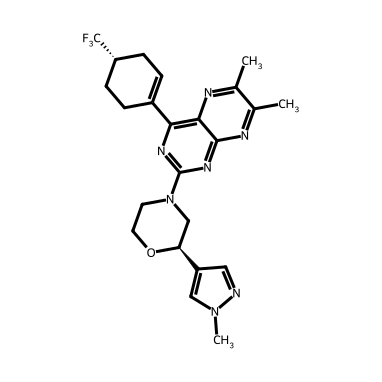 Cc1nc2nc(N3CCO[C@H](c4cnn(C)c4)C3)nc(C3=CC[C@@H](C(F)(F)F)CC3)c2nc1C